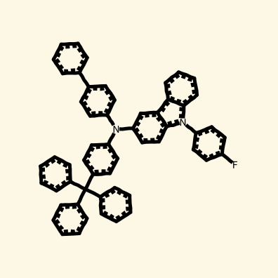 Fc1ccc(-n2c3ccccc3c3cc(N(c4ccc(-c5ccccc5)cc4)c4ccc(C(c5ccccc5)(c5ccccc5)c5ccccc5)cc4)ccc32)cc1